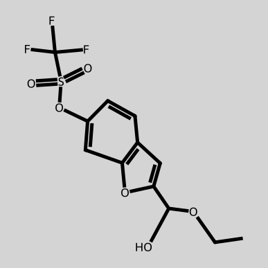 CCOC(O)c1cc2ccc(OS(=O)(=O)C(F)(F)F)cc2o1